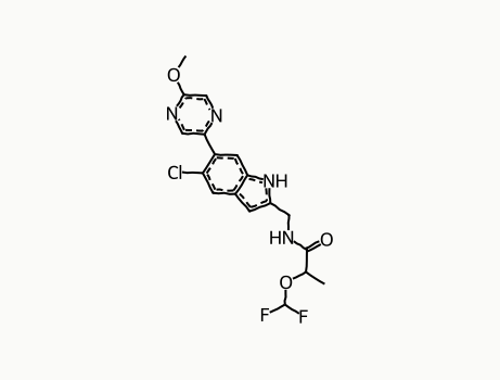 COc1cnc(-c2cc3[nH]c(CNC(=O)C(C)OC(F)F)cc3cc2Cl)cn1